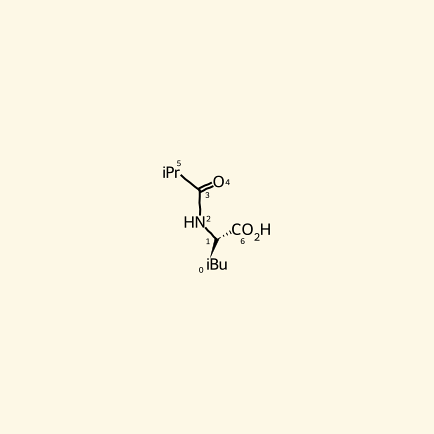 CC[C@H](C)[C@H](NC(=O)C(C)C)C(=O)O